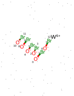 [O-]Br.[O-]Br.[O-]Br.[O-]Br.[O-]Br.[O-]Br.[W+6]